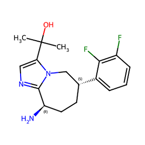 CC(C)(O)c1cnc2n1C[C@H](c1cccc(F)c1F)CC[C@H]2N